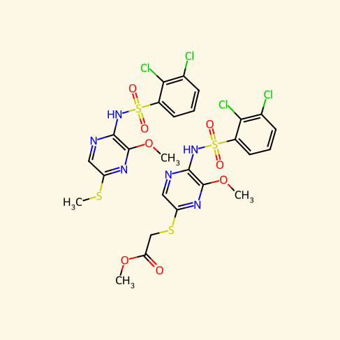 COC(=O)CSc1cnc(NS(=O)(=O)c2cccc(Cl)c2Cl)c(OC)n1.COc1nc(SC)cnc1NS(=O)(=O)c1cccc(Cl)c1Cl